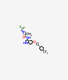 CC1(C(=O)Nc2c[nH]c3ccc(O[C@H]4C[C@H](c5ccc(C(F)(F)F)cc5)C4)cc23)CN(CC(F)F)C1